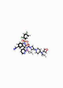 COc1ncccc1[C@]1(NC(=O)N2CC(N3CCC(N(C)C4COC4)CC3)C2)C(=O)N(S(=O)(=O)c2ccc(F)cc2F)c2ccc(C#N)cc21